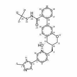 Cc1ncc(-c2ccc(C[C@@H]3COc4cc(-c5ccccc5C(=O)NSC(C)(C)C)ccc4[C@H]3O)nc2)s1